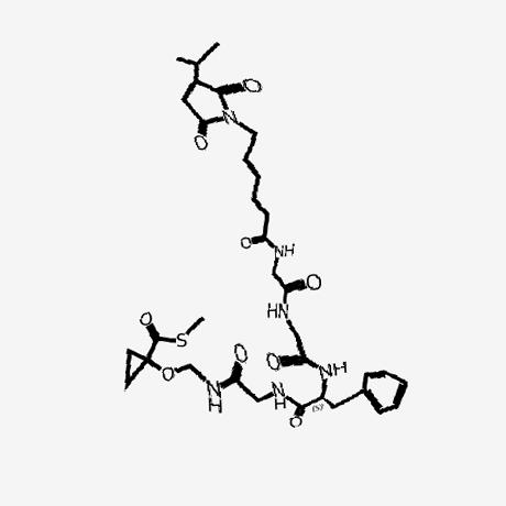 CSC(=O)C1(OCNC(=O)CNC(=O)[C@H](Cc2ccccc2)NC(=O)CNC(=O)CNC(=O)CCCCCN2C(=O)CC(C(C)C)C2=O)CC1